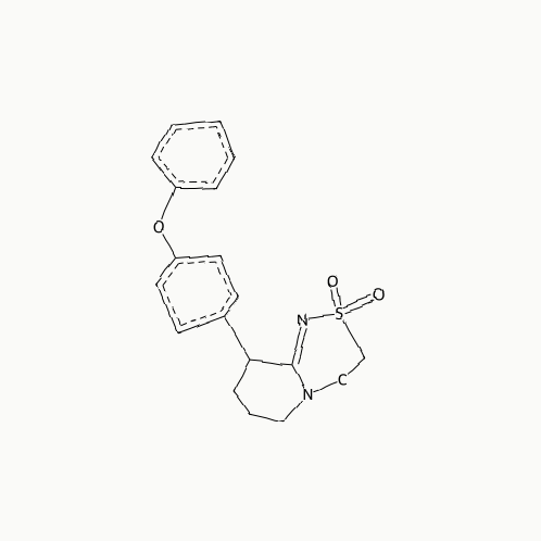 O=S1(=O)CCN2CCCC(c3ccc(Oc4ccccc4)cc3)C2=N1